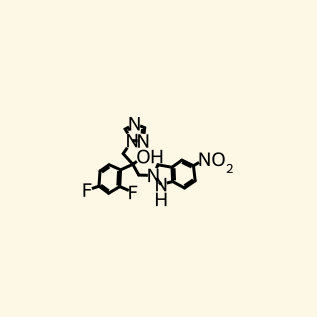 O=[N+]([O-])c1ccc2c(c1)CN(CC(O)(Cn1cncn1)c1ccc(F)cc1F)N2